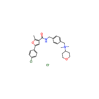 Cc1oc(-c2ccc(Cl)cc2)cc1C(=O)NCc1ccc(C[N+](C)(C)C2CCOCC2)cc1.[Cl-]